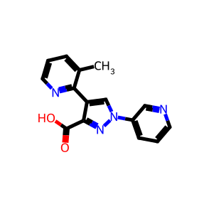 Cc1cccnc1-c1cn(-c2cccnc2)nc1C(=O)O